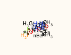 C/C=C(\C=C(/CC)OP(F)C(F)P)C(C)=NOCC(=C(/C)CCCC)/C(=C\CC)N(N)C(=O)N(C)N